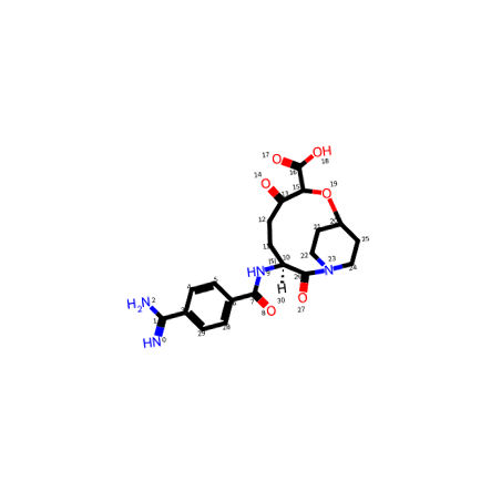 N=C(N)c1ccc(C(=O)N[C@H]2CCC(=O)C(C(=O)O)OC3CCN(CC3)C2=O)cc1